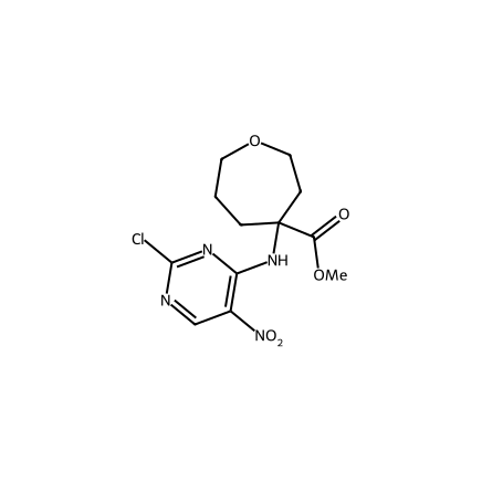 COC(=O)C1(Nc2nc(Cl)ncc2[N+](=O)[O-])CCCOCC1